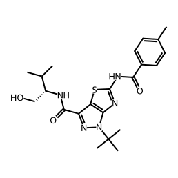 Cc1ccc(C(=O)Nc2nc3c(s2)c(C(=O)N[C@H](CO)C(C)C)nn3C(C)(C)C)cc1